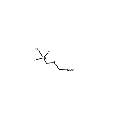 C[CH2][Sn]([Cl])([Cl])[CH2]SCNC